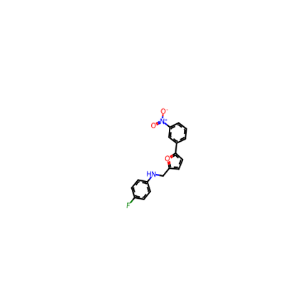 O=[N+]([O-])c1cccc(-c2ccc(CNc3ccc(F)cc3)o2)c1